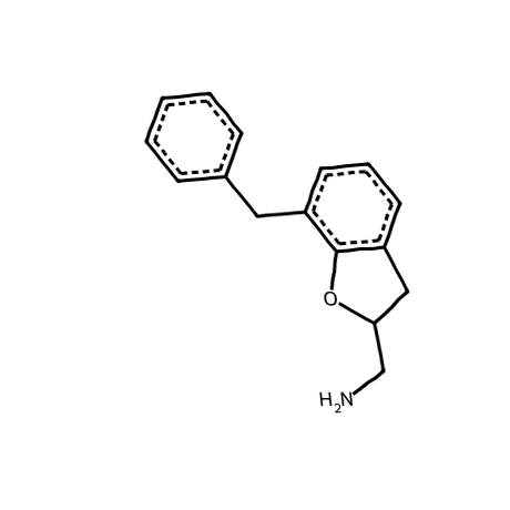 NCC1Cc2cccc(Cc3ccccc3)c2O1